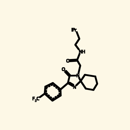 CC(C)CCNC(=O)CN1C(=O)C(c2ccc(C(F)(F)F)cc2)=NC12CCCCC2